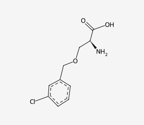 N[C@@H](COCc1cccc(Cl)c1)C(=O)O